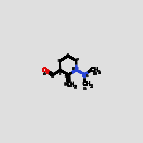 C=C1C(C=O)CCCN1N(C)C